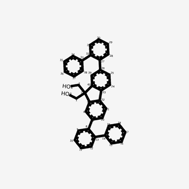 OCC1(CO)c2cc(-c3ccccc3-c3ccccc3)ccc2-c2ccc(-c3ccccc3-c3ccccc3)cc21